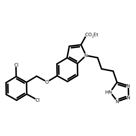 CCOC(=O)c1cc2cc(OCc3c(Cl)cccc3Cl)ccc2n1CCCc1nnn[nH]1